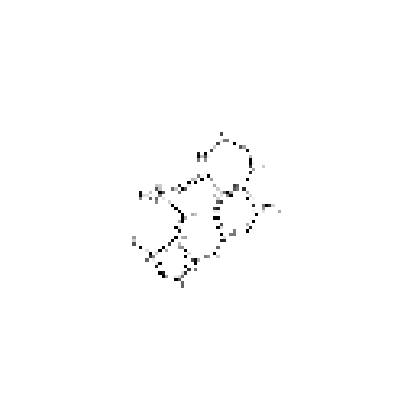 Cn1ccn(Cc2cc(Br)c3c(c2)C(=O)NCCO3)c1=NC(=O)O